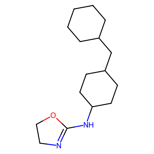 C1CCC(CC2CCC(NC3=NCCO3)CC2)CC1